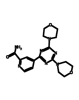 NC(=O)c1cc(-c2nc(N3CCOCC3)nc(N3CCOCC3)n2)ccn1